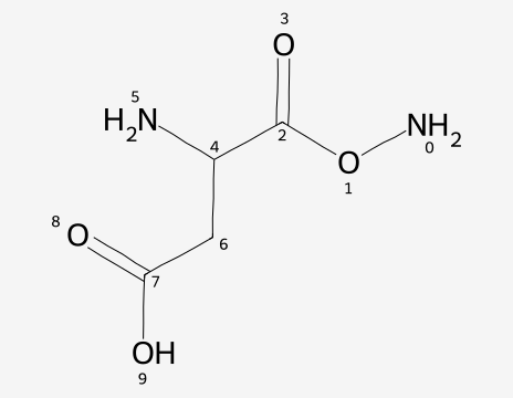 NOC(=O)C(N)CC(=O)O